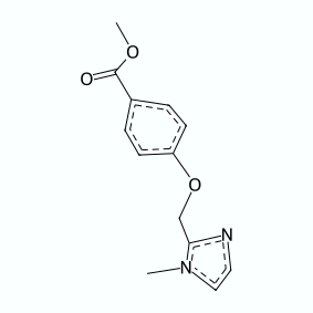 COC(=O)c1ccc(OCc2nccn2C)cc1